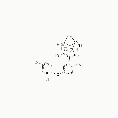 CCc1ccc(Oc2ccc(Cl)cc2Cl)cc1C1=C(O)[C@H]2[C@H]3CC[C@H](C3)[C@H]2C1=O